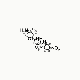 NC(=O)C1CSCN1C(=O)[C@@H](N)Cc1cn(-c2ccc([N+](=O)[O-])cc2[N+](=O)[O-])cn1